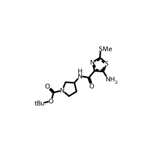 CSc1nc(C(=O)NC2CCN(C(=O)OC(C)(C)C)C2)c(N)s1